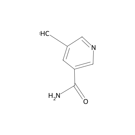 [CH]c1cncc(C(N)=O)c1